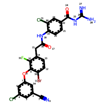 N#Cc1cc(Cl)cc(Oc2c(Br)ccc(CC(=O)Nc3ccc(C(=O)NC(=N)N)cc3Cl)c2F)c1